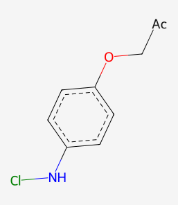 CC(=O)COc1ccc(NCl)cc1